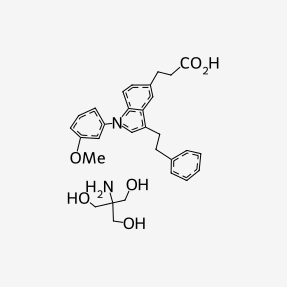 COc1cccc(-n2cc(CCc3ccccc3)c3cc(CCC(=O)O)ccc32)c1.NC(CO)(CO)CO